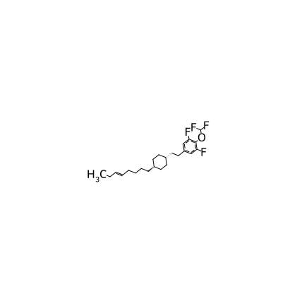 CC/C=C/CCCC[C@H]1CC[C@H](CCc2cc(F)c(OC(F)F)c(F)c2)CC1